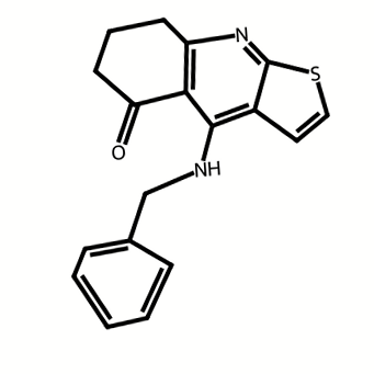 O=C1CCCc2nc3sccc3c(NCc3ccccc3)c21